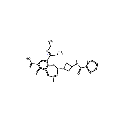 CC/N=C(\SC)n1cc(C(=O)O)c(=O)c2c1=NC(N1CC(NC(=O)c3ncccn3)C1)C=C(F)C=2